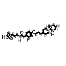 O=C(Cc1ccc(OCCCC2CCN(C3NCC(Cl)CN3)CC2)cc1F)NCCCS(=O)(=O)O